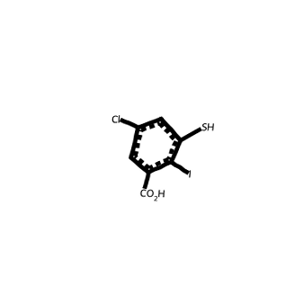 O=C(O)c1cc(Cl)cc(S)c1I